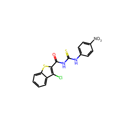 O=C(NC(=S)Nc1ccc([N+](=O)[O-])cc1)c1sc2ccccc2c1Cl